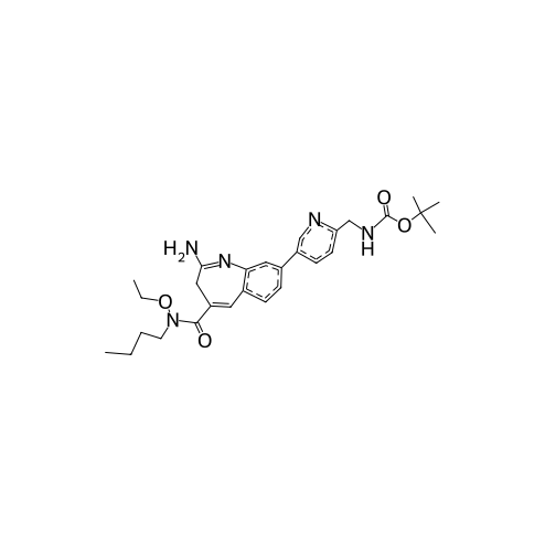 CCCCN(OCC)C(=O)C1=Cc2ccc(-c3ccc(CNC(=O)OC(C)(C)C)nc3)cc2N=C(N)C1